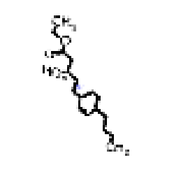 CCCCc1ccc(/C=C/[C@@H](O)CC(=O)OCC)cc1